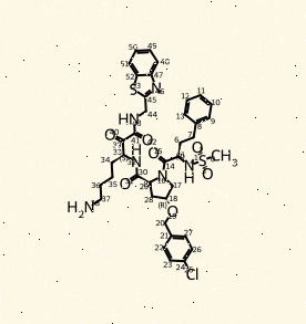 CS(=O)(=O)N[C@H](CCc1ccccc1)C(=O)N1C[C@H](OCc2ccc(Cl)cc2)C[C@H]1C(=O)N[C@@H](CCCCN)C(=O)C(=O)NCc1nc2ccccc2s1